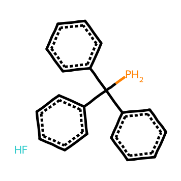 F.PC(c1ccccc1)(c1ccccc1)c1ccccc1